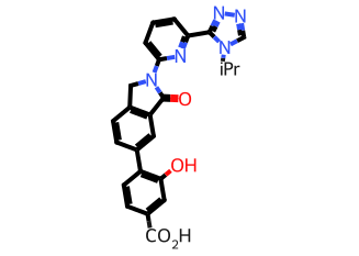 CC(C)n1cnnc1-c1cccc(N2Cc3ccc(-c4ccc(C(=O)O)cc4O)cc3C2=O)n1